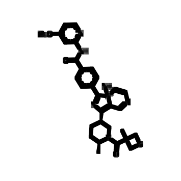 CC(C)COc1ccnc(NC(=O)c2ccc(C3=NC([C@@H]4CC[C@H](C)N(C(=O)C5(C)COC5)C4)=C4C=NC=C[N+]34N)cc2)c1